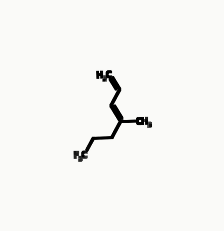 C=CC=C(C)CCC(F)(F)F